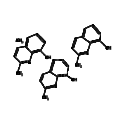 Cc1ccc2cccc(O)c2n1.Cc1ccc2cccc(O)c2n1.Cc1ccc2cccc(O)c2n1.[AlH3]